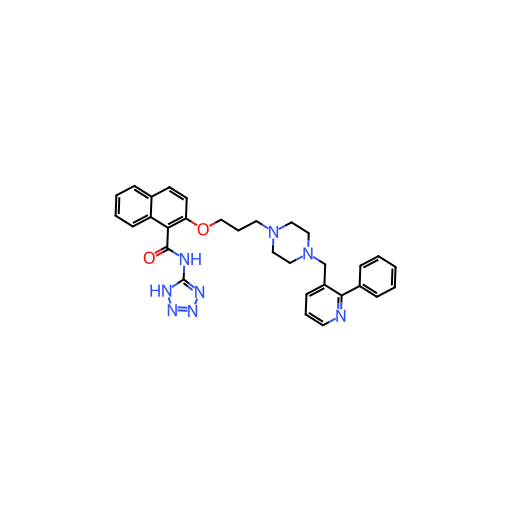 O=C(Nc1nnn[nH]1)c1c(OCCCN2CCN(Cc3cccnc3-c3ccccc3)CC2)ccc2ccccc12